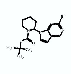 CC(C)(C)OC(=O)N1CCCCC1n1ccc2cnc(Br)cc21